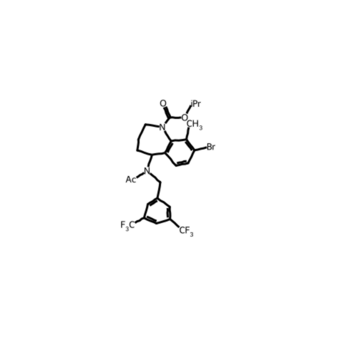 CC(=O)N(Cc1cc(C(F)(F)F)cc(C(F)(F)F)c1)C1CCCN(C(=O)OC(C)C)c2c1ccc(Br)c2C